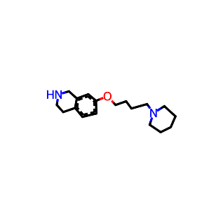 c1cc2c(cc1OCCCCN1CCCCC1)CNCC2